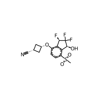 CS(=O)(=O)c1ccc(O[C@H]2C[C@@H](C#N)C2)c2c1[C@H](O)C(F)(F)[C@@H]2F